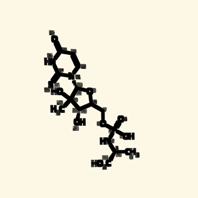 C[C@H](NP(=O)(O)OCC1O[C@@H](n2ccc(=O)[nH]c2=S)C(C)(O)[C@H]1O)C(=O)O